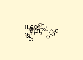 CC[Si](=O)CC[Si](C)(C)O[Si](C)(C)C1C2C(C3CC(=O)OC3=O)C21